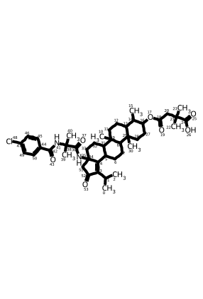 CC(C)C1=C2C3CCC4C(C)(CCC5C(C)C(OC(=O)CC(C)(C)C(=O)O)CCC54C)C3CCC2(NC(=O)C(C)(C)NC(=O)c2ccc(Cl)cc2)CC1=O